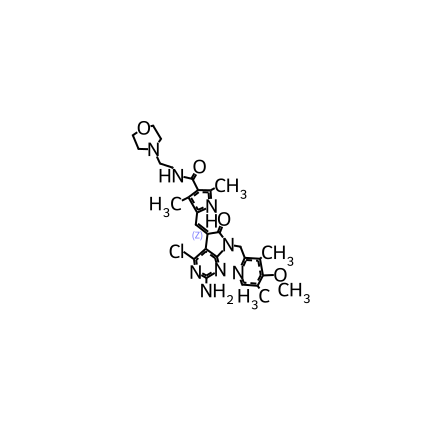 COc1c(C)cnc(CN2C(=O)/C(=C\c3[nH]c(C)c(C(=O)NCCN4CCOCC4)c3C)c3c(Cl)nc(N)nc32)c1C